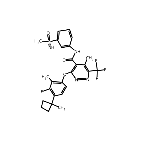 Cc1c(Oc2nnc(C(F)(F)F)c(C)c2C(=O)Nc2cccc(S(C)(=N)=O)c2)ccc(C2(C)CCC2)c1F